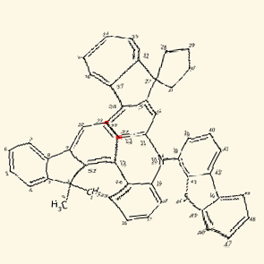 CC1(C)c2ccccc2-c2cccc(-c3ccccc3N(c3ccc4c(c3)C3(CCCC3)c3ccccc3-4)c3cccc4c3sc3ccccc34)c21